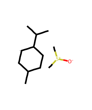 CC1C[CH]C(C(C)C)CC1.C[S+](C)[O-]